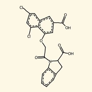 O=C(O)c1cc(OCC(=O)N2c3ccccc3CC2C(=O)O)c2c(Cl)cc(Cl)cc2c1